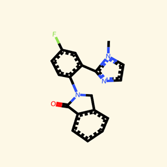 Cn1ccnc1-c1cc(F)ccc1N1Cc2ccccc2C1=O